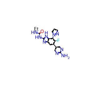 CCNC(=O)Nc1nc2cc(-c3cnc(N)nc3)c(F)c(-n3cccn3)c2[nH]1